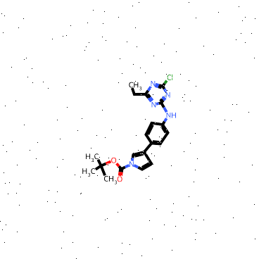 CCc1nc(Cl)nc(Nc2ccc(-c3ccn(C(=O)OC(C)(C)C)c3)cc2)n1